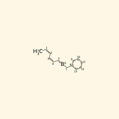 C\C=C/C=C\C=B\Cc1ccccc1